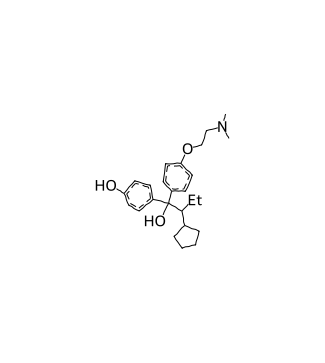 CCC(C1CCCC1)C(O)(c1ccc(O)cc1)c1ccc(OCCN(C)C)cc1